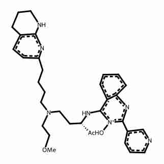 COCCN(CCCCc1ccc2c(n1)NCCC2)CC[C@H](Nc1c2ccccc2nc(-c2cccnc2)[n+]1O)C(C)=O